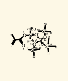 C=C(C)C(=O)O[Si](O[Si](O[Si](C)(C)C)(O[Si](C)(C)C)O[Si](C)(C)C)(C(C)CC)C(C)CC